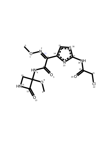 CO/N=C(\C(=O)NC1(OC)CNC1=O)c1csc(NC(=O)CCl)n1